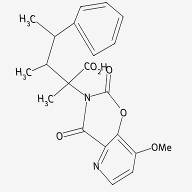 COc1ccnc2c(=O)n(C(C)(C(=O)O)C(C)C(C)c3ccccc3)c(=O)oc12